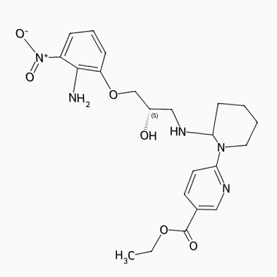 CCOC(=O)c1ccc(N2CCCCC2NC[C@H](O)COc2cccc([N+](=O)[O-])c2N)nc1